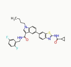 CCCCn1cc(C(=O)NCc2cc(F)ccc2F)c2cc(-c3ccc4nc(NC(=O)C5CC5)sc4c3)ccc21